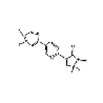 CN1C(=O)N(c2ncc(-c3ccc(F)c(F)c3)cn2)CC1(C)C